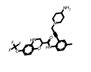 Cc1ccc(NC(=O)C2CNc3cc(OC(F)(F)F)ccc3O2)c(C#CCN2CCC(N)CC2)c1